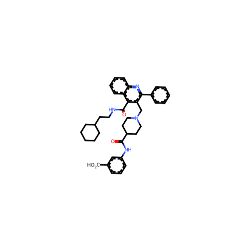 O=C(O)c1cccc(NC(=O)C2CCN(Cc3c(-c4ccccc4)nc4ccccc4c3C(=O)NCCC3CCCCC3)CC2)c1